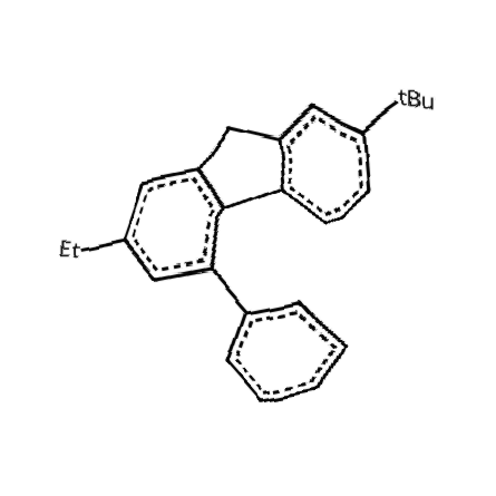 CCc1cc2c(c(-c3ccccc3)c1)-c1ccc(C(C)(C)C)cc1C2